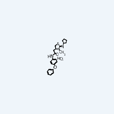 CN1C(=NC2CCCC2)SCC1CC(=O)Nc1ccc(Oc2ccccc2)cc1.Cl